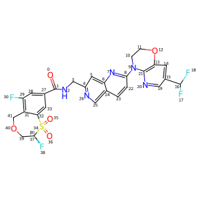 O=C(NCc1cc2nc(N3CCOc4cc(C(F)F)cnc43)ccc2cn1)c1cc(F)c2c(c1)S(=O)(=O)[C@@H](F)COC2